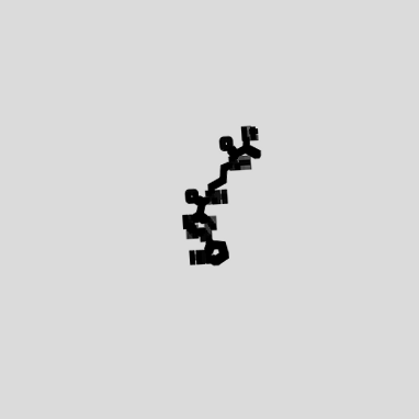 C=C(CC)C(=O)NCCCNC(=O)c1nnn(-c2ccc[nH]2)n1